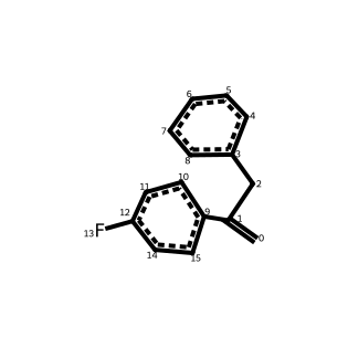 C=C(Cc1ccccc1)c1ccc(F)cc1